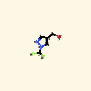 FC(F)n1cc(CBr)cn1